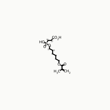 C=C(C)C(=O)OCCCCCCOP(=O)(O)CCC(=O)O